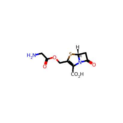 NCC(=O)OCC1=C(C(=O)O)N2C(=O)C[C@H]2S1